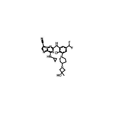 CC1(O)CN(C2CCN(c3cc(C(F)F)cc(Nc4nc(NC5CC5)c5ncc(C#N)n5n4)c3Cl)CC2)C1